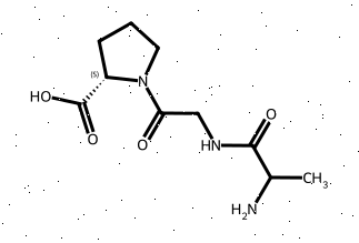 CC(N)C(=O)NCC(=O)N1CCC[C@H]1C(=O)O